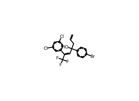 C=CCC(O)(C=C(c1cc(Cl)cc(Cl)c1)C(F)(F)F)c1ccc(Br)cc1